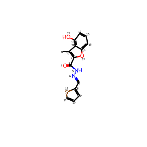 Cc1c(C(=O)NN=Cc2cccs2)oc2cccc(O)c12